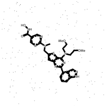 COCCN(CCOC)c1nc(-c2cccc3[nH]ncc23)nc2cc(CN(C)c3ncc(C(=O)NO)cn3)sc12